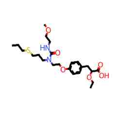 CCCSCCCN(CCOc1ccc(CC(OCC)C(=O)O)cc1)C(=O)NCCOC